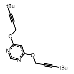 CC(C)(C)C#CCOc1cc(OCC#CC(C)(C)C)ncn1